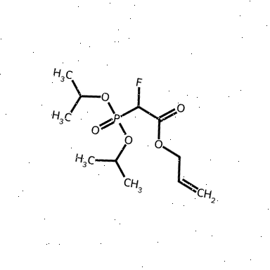 C=CCOC(=O)C(F)P(=O)(OC(C)C)OC(C)C